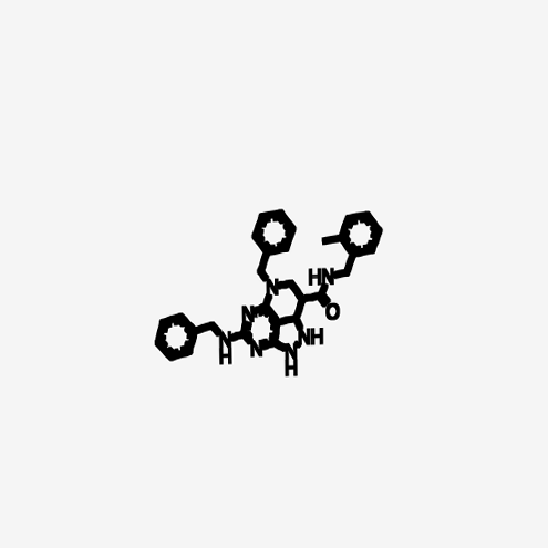 Cc1ccccc1CNC(=O)C1CN(Cc2ccccc2)c2nc(NCc3ccccc3)nc3c2C1NN3